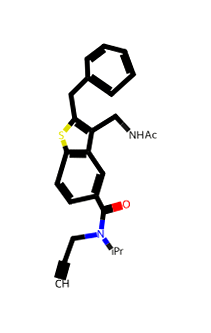 C#CCN(C(=O)c1ccc2sc(Cc3ccccc3)c(CNC(C)=O)c2c1)C(C)C